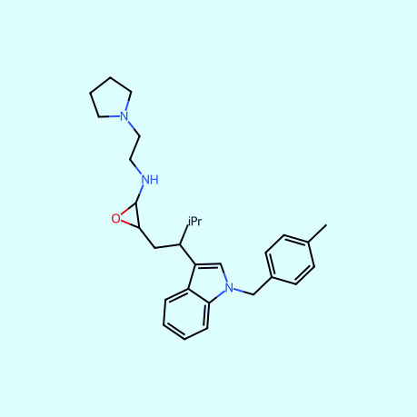 Cc1ccc(Cn2cc(C(CC3OC3NCCN3CCCC3)C(C)C)c3ccccc32)cc1